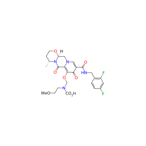 COCCN(COc1c2n(cc(C(=O)NCc3ccc(F)cc3F)c1=O)C[C@@H]1OCC[C@@H](C)N1C2=O)C(=O)O